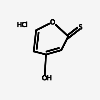 Cl.Oc1ccoc(=S)c1